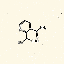 CC(C)(C)C(C=O)c1ncccc1C(N)=O